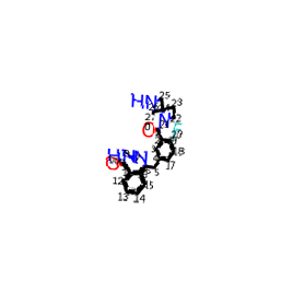 O=C(c1cc(Cc2n[nH]c(=O)c3ccccc23)ccc1F)N1CCC12CNC2